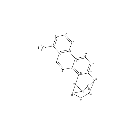 Cc1nccc2c1ccc1c3c(cnc12)C1CCC2C(C1)C32